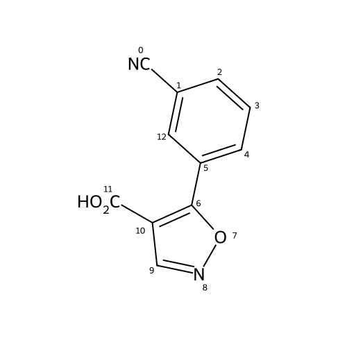 N#Cc1cccc(-c2oncc2C(=O)O)c1